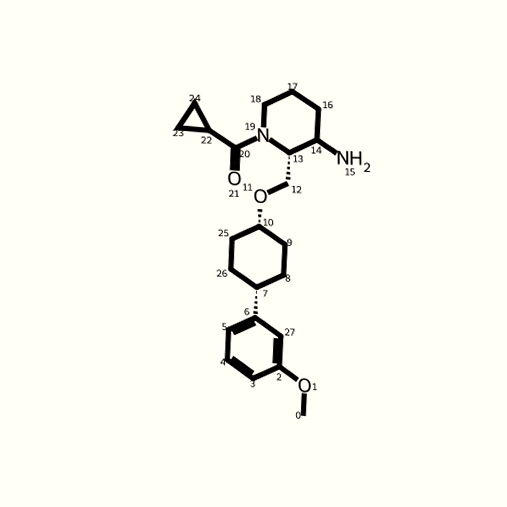 COc1cccc([C@H]2CC[C@@H](OC[C@H]3C(N)CCCN3C(=O)C3CC3)CC2)c1